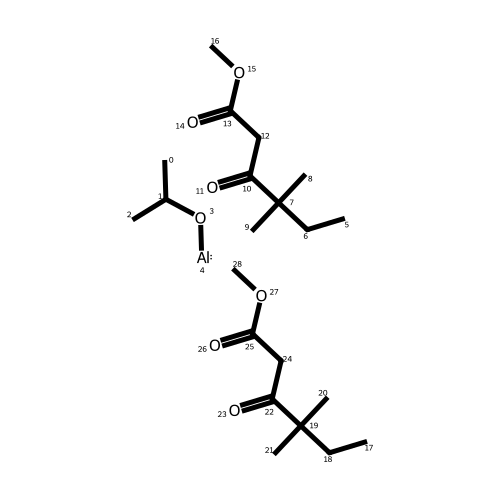 CC(C)[O][Al].CCC(C)(C)C(=O)CC(=O)OC.CCC(C)(C)C(=O)CC(=O)OC